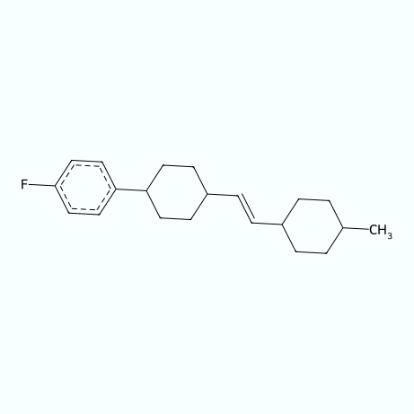 CC1CCC(/C=C/C2CCC(c3ccc(F)cc3)CC2)CC1